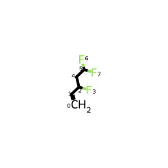 C=CC(F)CC(F)F